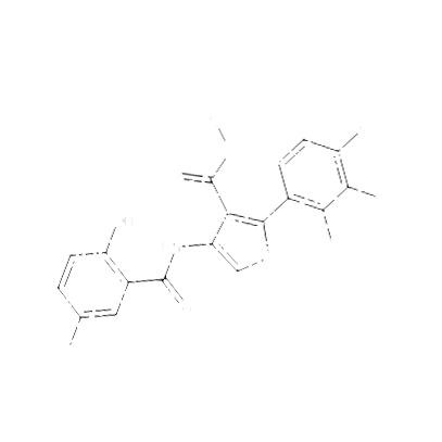 COC(=O)c1c(NC(=O)c2cc(Cl)ccc2O)csc1-c1ccc(C)c(F)c1F